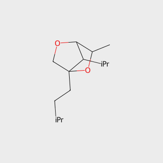 CC(C)CCC12COC(C(C)O1)C2C(C)C